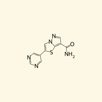 NC(=O)c1cnn2cc(-c3cncnc3)sc12